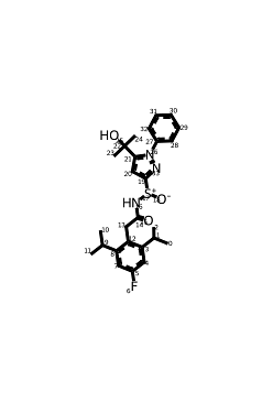 CC(C)c1cc(F)cc(C(C)C)c1CC(=O)N[S+]([O-])c1cc(C(C)(C)O)n(-c2ccccc2)n1